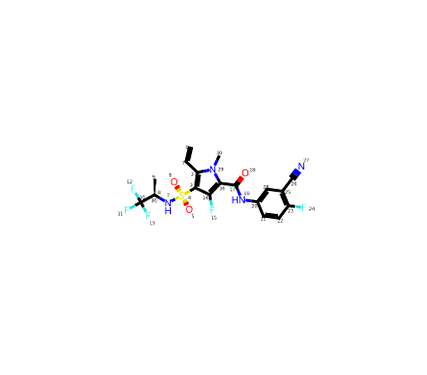 C=Cc1c(S(=O)(=O)N[C@H](C)C(F)(F)F)c(F)c(C(=O)Nc2ccc(F)c(C#N)c2)n1C